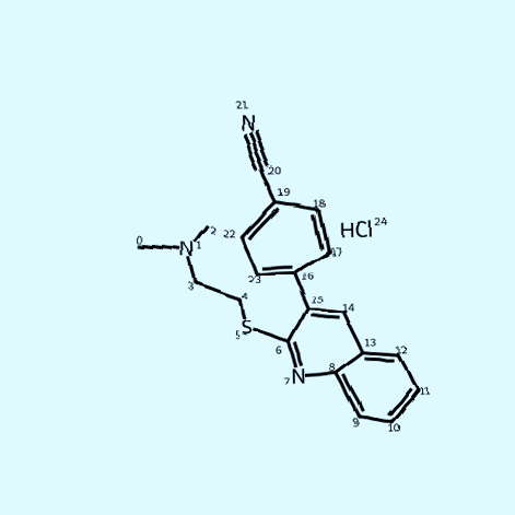 CN(C)CCSc1nc2ccccc2cc1-c1ccc(C#N)cc1.Cl